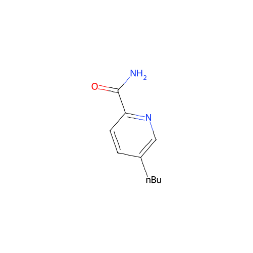 CCCCc1ccc(C(N)=O)nc1